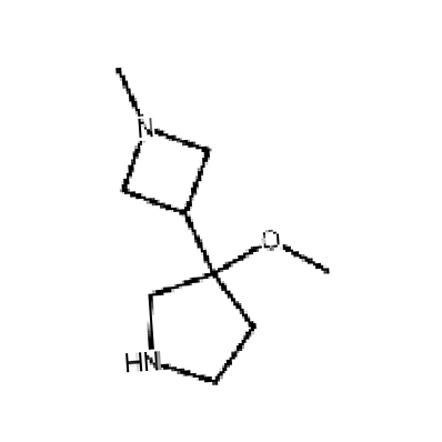 COC1(C2CN(C)C2)CCNC1